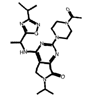 CC(=O)N1CCN(c2nc(NC(C)c3nc(C(C)C)no3)c3c(n2)C(=O)N(C(C)C)C3)CC1